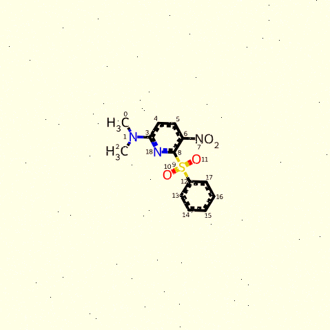 CN(C)c1ccc([N+](=O)[O-])c(S(=O)(=O)c2ccccc2)n1